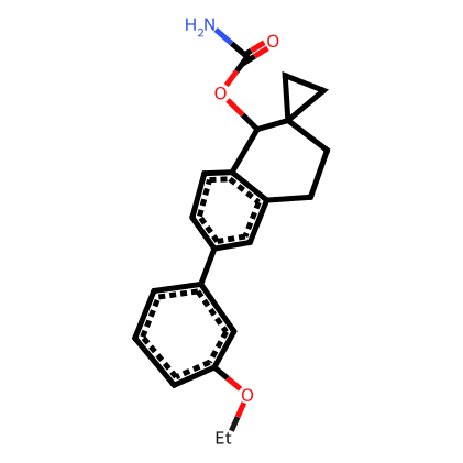 CCOc1cccc(-c2ccc3c(c2)CCC2(CC2)C3OC(N)=O)c1